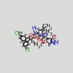 COC(=O)[C@H](C[C@@H]1CCNC1=O)NC(=O)[C@H](CC(C)C)NC(=O)OC(c1cccc(Cl)c1)C1(c2cccc(Cl)c2)CC1